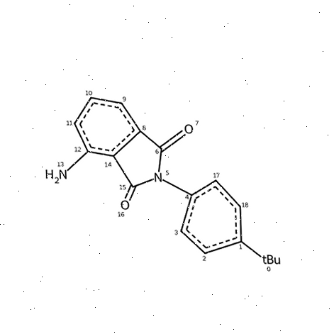 CC(C)(C)c1ccc(N2C(=O)c3cccc(N)c3C2=O)cc1